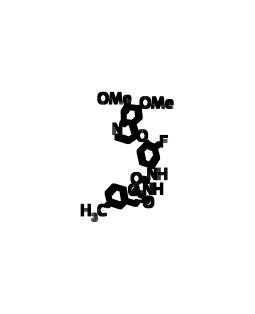 COc1cc2nccc(Oc3ccc(NC(=O)NS(=O)(=O)Cc4cccc(C)c4)cc3F)c2cc1OC